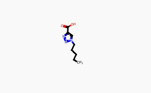 CCCCCn1cc(C(=O)O)nn1